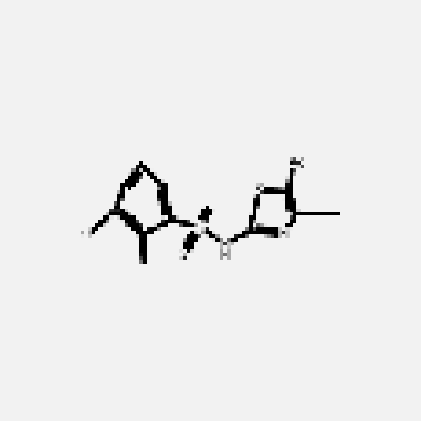 CC(=O)c1sc(NS(=O)(=O)c2cccc(Cl)c2C)nc1C